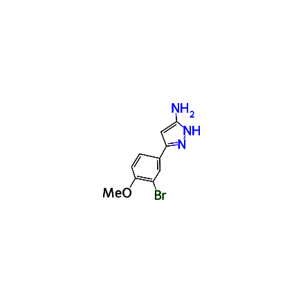 COc1ccc(-c2cc(N)[nH]n2)cc1Br